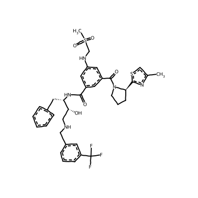 Cc1csc([C@H]2CCCN2C(=O)c2cc(NCS(C)(=O)=O)cc(C(=O)N[C@@H](Cc3ccccc3)[C@H](O)CNCc3cccc(C(F)(F)F)c3)c2)n1